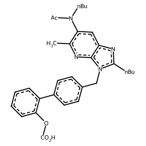 CCCCc1nc2cc(N(CCCC)C(C)=O)c(C)nc2n1Cc1ccc(-c2ccccc2OC(=O)O)cc1